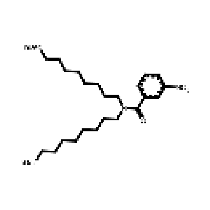 CCCCCCCCCCCCCCCCCCN(CCCCCCCCCCCCCCCCCC)C(=O)c1[c]ccc([N+](=O)[O-])c1